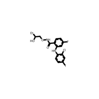 CCC(O)CONC(=O)c1ccc(F)cc1Nc1ccc(I)cc1Cl